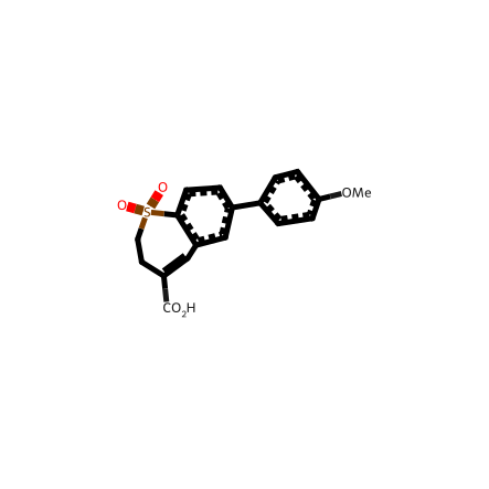 COc1ccc(-c2ccc3c(c2)C=C(C(=O)O)CCS3(=O)=O)cc1